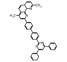 CC1=NC2c3nc(-c4ccc(-c5ccc(-c6nc(C7=CC=CCC7)cc(-c7ccccc7)n6)cc5)cc4)cc(C)c3C=CC2C=C1